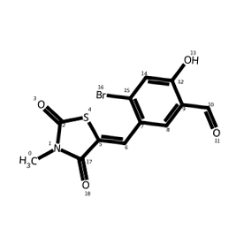 CN1C(=O)S/C(=C\c2cc(C=O)c(O)cc2Br)C1=O